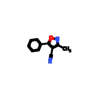 Cc1noc(-c2ccccc2)c1C#N